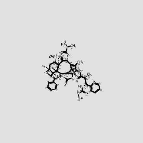 CO[C@H]1C[C@H]2OC[C@@]2(OC(C)=O)[C@H]2[C@H](OC(=O)c3ccccc3)[C@]34OC(=O)O[C@H]3[C@H](OC(=O)[C@H](O)[C@@H](NC(=O)OC(C)(C)C)c3ccccn3)C(C)=C([C@@H](OC(=O)N(C)C)C(=O)[C@]12C)C4(C)C